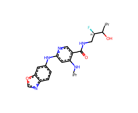 CC(C)Nc1cc(Nc2ccc3ncoc3c2)ncc1C(=O)NC[C@@H](F)C(O)C(C)C